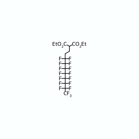 CCOC(=O)C(CCC(F)(F)C(F)(F)C(F)(F)C(F)(F)C(F)(F)C(F)(F)C(F)(F)C(F)(F)F)C(=O)OCC